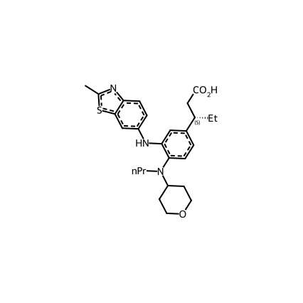 CCCN(c1ccc([C@@H](CC)CC(=O)O)cc1Nc1ccc2nc(C)sc2c1)C1CCOCC1